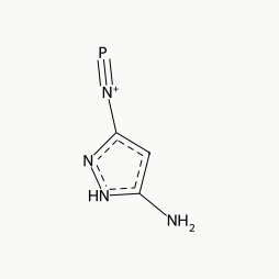 Nc1cc([N+]#P)n[nH]1